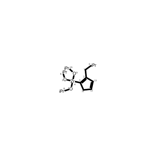 CC(C)CC1=[C]([Zr]([O]C(C)C)([O]C(C)C)[O]C(C)C)CC=C1